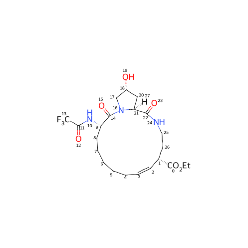 CCOC(=O)[C@@H]1/C=C\CCCCC[C@H](NC(=O)C(F)(F)F)C(=O)N2C[C@H](O)C[C@H]2C(=O)NCC1